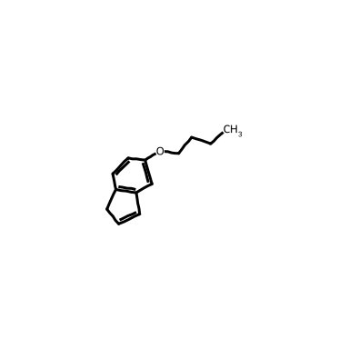 CCCCOc1ccc2c(c1)C=CC2